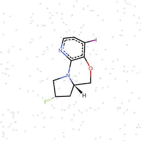 F[C@H]1C[C@H]2COc3c(I)ccnc3N2C1